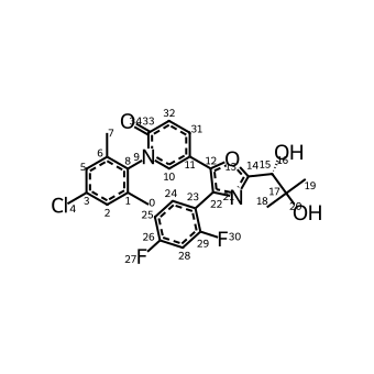 Cc1cc(Cl)cc(C)c1-n1cc(-c2oc([C@H](O)C(C)(C)O)nc2-c2ccc(F)cc2F)ccc1=O